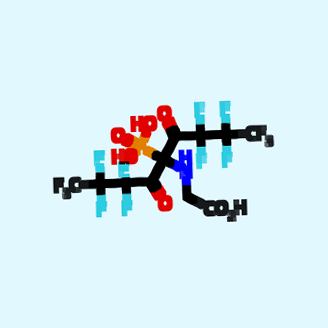 O=C(O)CNC(C(=O)C(F)(F)C(F)(F)C(F)(F)F)(C(=O)C(F)(F)C(F)(F)C(F)(F)F)P(=O)(O)O